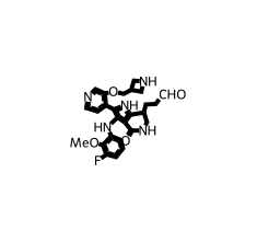 COc1c(F)cccc1Nc1c(-c2ccncc2OCC2CNC2)[nH]c2c1C(=O)NCC2CCC=O